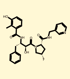 Cc1c(O)cccc1C(=O)N[C@@H](Cc1ccccc1)[C@H](O)C(=O)N1C[C@@H](F)C[C@H]1C(=O)NCc1cccnc1